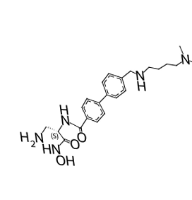 CN(C)CCCCNCc1ccc(-c2ccc(C(=O)N[C@@H](CN)C(=O)NO)cc2)cc1